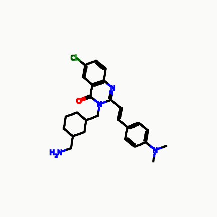 CN(C)c1ccc(/C=C/c2nc3ccc(Cl)cc3c(=O)n2CC2CCCC(CN)C2)cc1